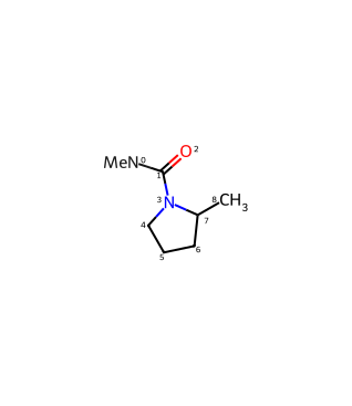 CNC(=O)N1CCCC1C